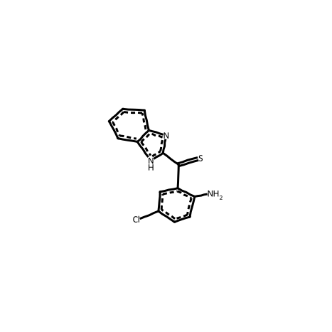 Nc1ccc(Cl)cc1C(=S)c1nc2ccccc2[nH]1